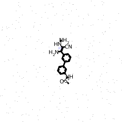 C[S+]([O-])Nc1cccc(-c2cccc(/C(N)=C(\C#N)NN)c2)c1